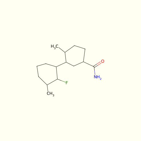 CC1CCCC(C2CC(C(N)=O)CCC2C)C1F